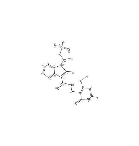 COc1cc(C)[nH]c(=O)c1CNC(=O)c1c(C)n(C(C)CS(C)(=O)=O)c2ccccc12